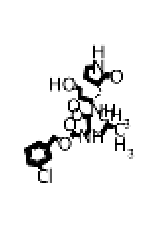 CC(C)C[C@H](NC(=O)OCc1cccc(Cl)c1)C(=O)N[C@@H](C[C@@H]1CCNC1=O)C(=O)CO